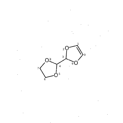 C1=COC(C2OCCO2)O1